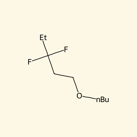 CCCCOCCC(F)(F)CC